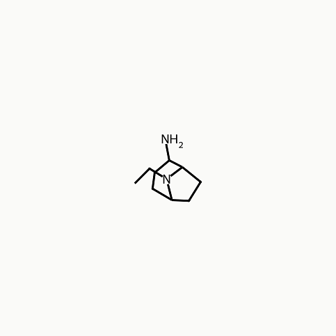 CCN1C2CCC(N)C1CC2